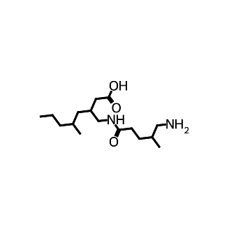 CCCC(C)CC(CNC(=O)CCC(C)CN)CC(=O)O